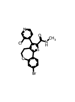 CNC(=O)c1sc2c(c1-c1ccncc1Cl)CCOc1cc(Br)ccc1-2